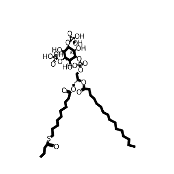 CCCCCCCCCCCCCCCC(=O)O[C@H](COC(=O)CCCCCCCCCSC(=O)CCC)COP(=O)(O)OC1C(O)[C@@H](OP(=O)(O)O)C(O)[C@@H](OP(=O)(O)O)[C@H]1O